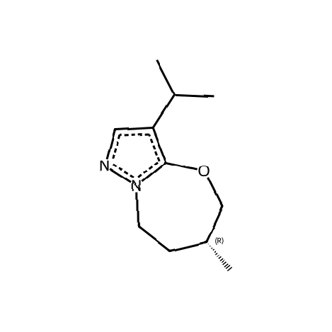 CC(C)c1cnn2c1OC[C@H](C)CC2